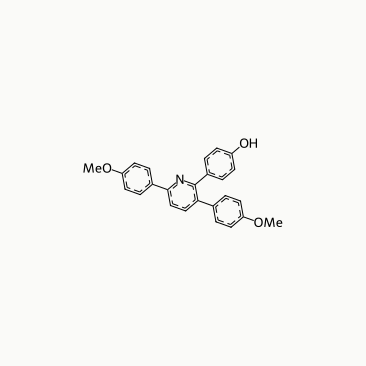 COc1ccc(-c2ccc(-c3ccc(OC)cc3)c(-c3ccc(O)cc3)n2)cc1